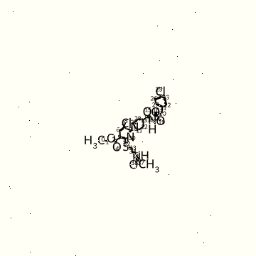 CCOC(=O)c1cc(Cl)c(N2CCC(C(=O)NS(=O)(=O)Cc3ccc(Cl)cc3)CC2)nc1SCCNC(C)=O